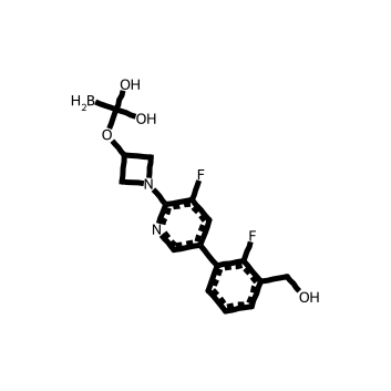 BC(O)(O)OC1CN(c2ncc(-c3cccc(CO)c3F)cc2F)C1